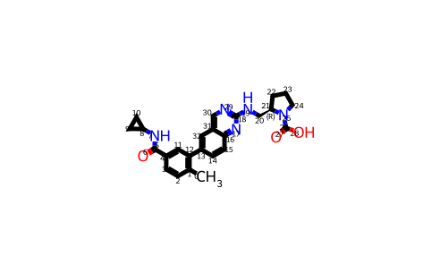 Cc1ccc(C(=O)NC2CC2)cc1-c1ccc2nc(NC[C@H]3CCCN3C(=O)O)ncc2c1